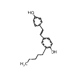 CCCCCc1cc(C=Cc2ccc(O)cc2)ccc1O